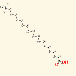 CC(C)(C)CCCCCCCCCCCCCCCCCCCC(=O)O